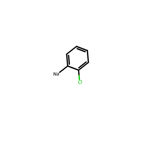 [Na][c]1ccccc1Cl